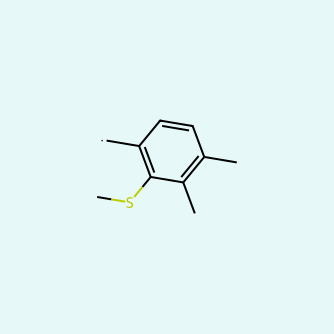 [CH2]c1ccc(C)c(C)c1SC